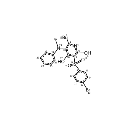 CCCCc1nc(O)c(S(=O)(=O)c2ccc(Br)cc2)c(O)c1N(C)c1ccccc1